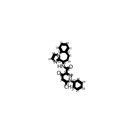 Cc1cc(=O)c(C(=O)NC2CCc3ccccc3-n3ccnc32)nn1-c1ccccc1